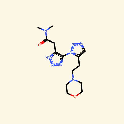 CN(C)C(=O)Cc1[nH]nnc1-n1nn[c]c1CCN1CCOCC1